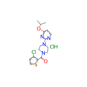 CC(C)Oc1ccnc(N2CCN(C(=O)c3sccc3Cl)CC2)n1.Cl